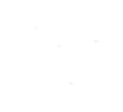 CC(=O)Nc1ccc(CC2NC(=O)C(CC(=O)NO)CCCCCCCCCN(C)C2=O)cc1